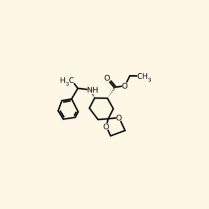 CCOC(=O)[C@@H]1CC2(CC[C@@H]1NC(C)c1ccccc1)OCCO2